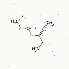 C=C=C(CN)COCC